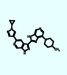 CN1CCN(c2cncc3[nH]c(-c4n[nH]c5cnc(-c6cnn(C7CC7)c6)cc45)nc23)CC1